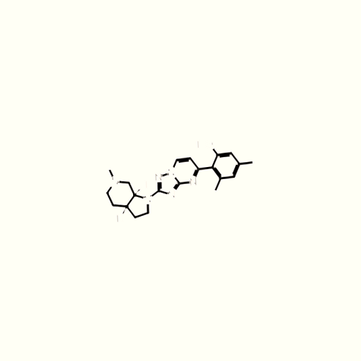 Cc1cc(C)c(-c2ccn3nc(N4CC[C@@H]5CCN(C)C[C@@H]54)nc3n2)c(O)c1